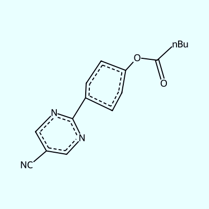 CCCCC(=O)Oc1ccc(-c2ncc(C#N)cn2)cc1